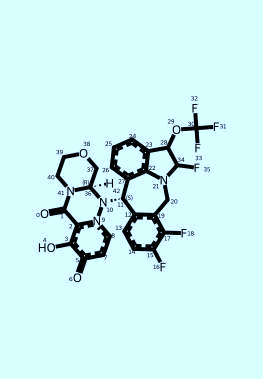 O=C1c2c(O)c(=O)ccn2N([C@H]2c3ccc(F)c(F)c3CN3c4c(cccc42)C(OC(F)(F)F)C3F)[C@@H]2COCCN12